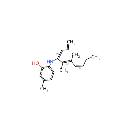 C=C\C=C(Nc1ccc(C)cc1O)/C(C)=C(C)/C=C\CC